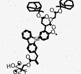 C=C(Cc1ccc2c(c1)[SiH](c1ccc(OC)c(C(CC(=O)OC3(C)C4CC5CC(C4)CC3C5)C(=O)OCC(=O)OC3(C)C4CC5CC(C4)CC3C5)c1)c1ccccc1-2)C(=O)OCC(F)(F)S(=O)(=O)O